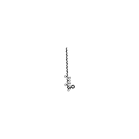 CCC=CCC=CCC=CCC=CCC=CCC=CCCC(=O)NCC(=O)CNC(=O)C1=CC(=O)C(C)(c2ccccc2)O1